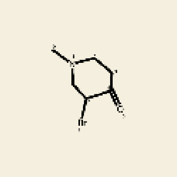 CN1CCC(=O)C(Br)C1